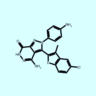 Cc1c(-c2c3c(N)n[nH]c(=O)c3nn2-c2ccc(N)cc2)oc2ccc(Cl)cc12